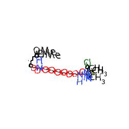 COc1ccc(CC[CH]c2cccc(OCC(=O)NCCOCCOCCOCCOCCOCCOCCNC(=O)C[C@@H]3N=C(c4ccc(Cl)cc4)c4c(sc(C)c4C)-n4c(C)nnc43)c2)cc1OC